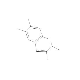 O=C(O)C1=Cc2cc(Cl)c(Cl)cc2SC1C(F)(F)F